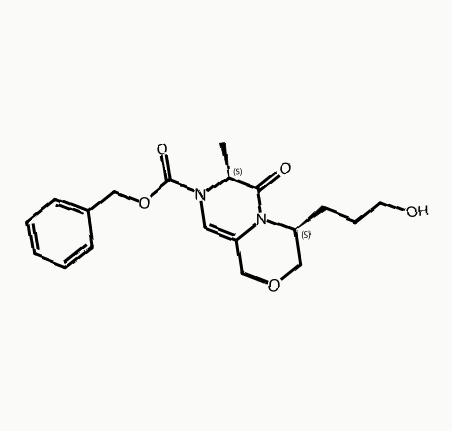 C[C@H]1C(=O)N2C(=CN1C(=O)OCc1ccccc1)COC[C@@H]2CCCO